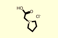 O=C(O)C[S+]1CCCC1.[Cl-]